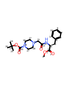 COC(=O)[C@H](Cc1ccccc1)NC(=O)CN1CCN(C(=O)OC(C)(C)C)CC1